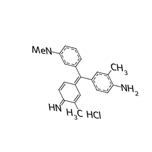 CNc1cccc(C(=C2C=CC(=N)C(C)=C2)c2ccc(N)c(C)c2)c1.Cl